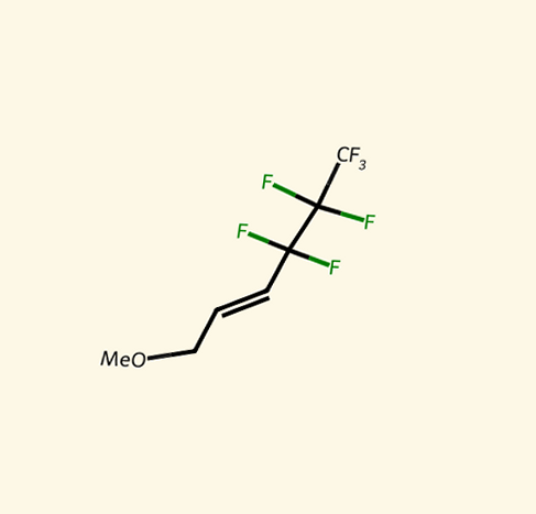 [CH2]OC/C=C/C(F)(F)C(F)(F)C(F)(F)F